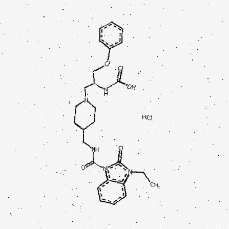 CCn1c(=O)n(C(=O)NCC2CCN(CC(COc3ccccc3)NC(=O)O)CC2)c2ccccc21.Cl